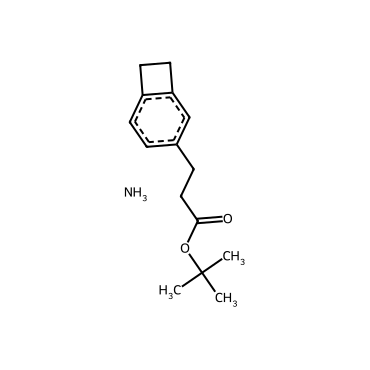 CC(C)(C)OC(=O)CCc1ccc2c(c1)CC2.N